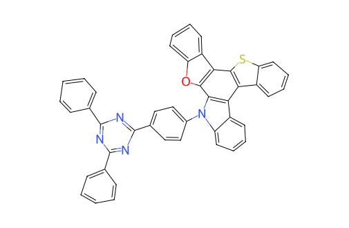 c1ccc(-c2nc(-c3ccccc3)nc(-c3ccc(-n4c5ccccc5c5c6c7ccccc7sc6c6c7ccccc7oc6c54)cc3)n2)cc1